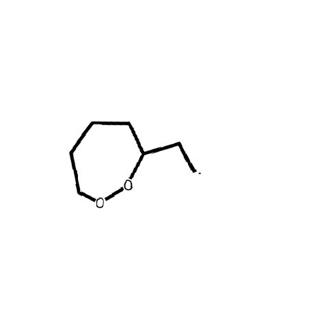 [CH2]CC1CCCCOO1